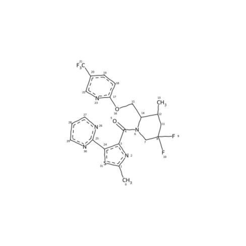 Cc1nc(C(=O)N2CC(F)(F)CC(C)C2COc2ccc(C(F)(F)F)cn2)c(-c2ncccn2)s1